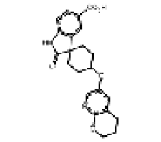 O=C(O)c1ccc2c(c1)C1(CCC(Oc3cnc4c(c3)CCCO4)CC1)C(=O)N2